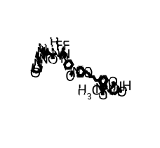 Cn1c(=O)n(C2CCC(=O)NC2=O)c2cccc(CCCOC3CCN(C(=O)[C@H]4CC[C@H](n5cc(NC(=O)c6cnn7ccc(N8CCOCC8)nc67)c(C(F)F)n5)CC4)CC3)c21